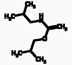 C=C(NCC(C)C)OCC(C)C